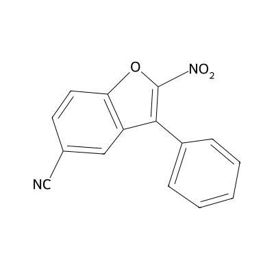 N#Cc1ccc2oc([N+](=O)[O-])c(-c3ccccc3)c2c1